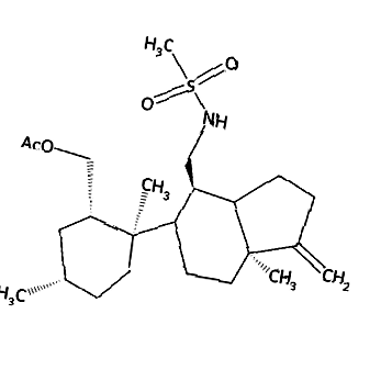 C=C1CCC2[C@H](CNS(C)(=O)=O)C([C@@]3(C)CC[C@H](C)C[C@@H]3COC(C)=O)CC[C@]12C